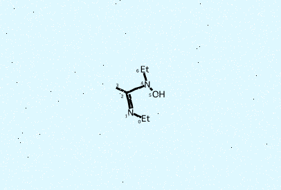 CCN=C(C)N(O)CC